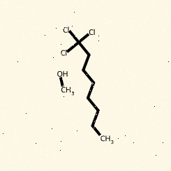 CCCCCCCC(Cl)(Cl)Cl.CO